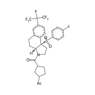 CC(=O)C1CCC(C(=O)N2CC[C@@]3(S(=O)(=O)c4ccc(I)cc4)c4ccc(C(F)(C(F)(F)F)C(F)(F)F)cc4CC[C@@H]23)C1